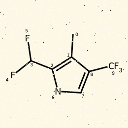 CC1=C(C(F)F)[N][C]=C1C(F)(F)F